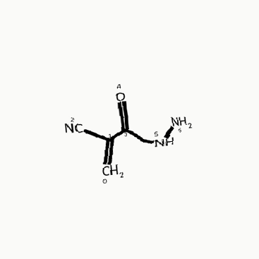 C=C(C#N)C(=O)NN